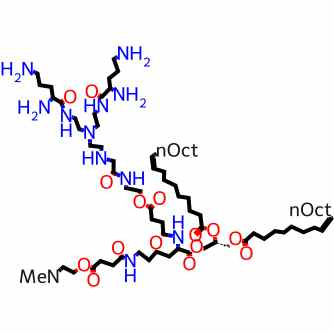 CCCCCCCC/C=C\CCCCCCCC(=O)OC[C@H](COC(=O)C(CCCCNC(=O)CCC(=O)OCCNC)NC(=O)CCC(=O)OCCNC(=O)CNCCN(CCNC(=O)C(N)CCCN)CCNC(=O)C(N)CCCN)OC(=O)CCCCCCC/C=C\CCCCCCCC